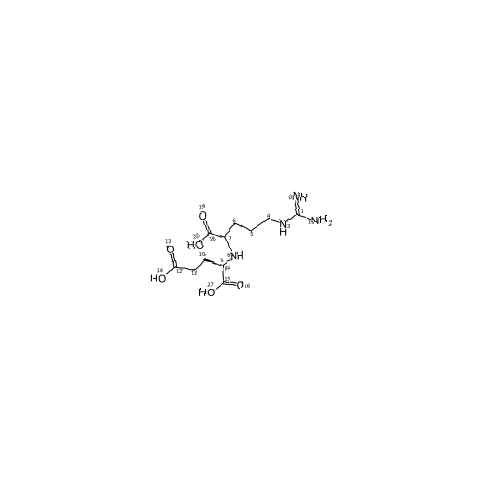 N=C(N)NCCCC(N[C@H](CCC(=O)O)C(=O)O)C(=O)O